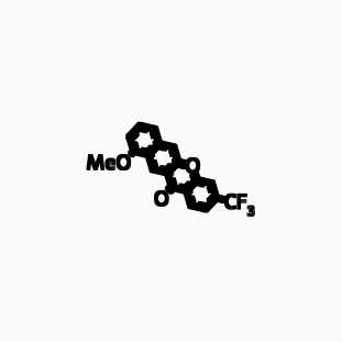 COc1cccc2cc3oc4cc(C(F)(F)F)ccc4c(=O)c3cc12